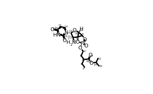 CCC(CCO[P@]1(=O)OC2[C@H]3O[C@@H](n4ccc(=O)[nH]c4=O)[C@](C)(N)[C@@]23O1)C(=O)OC(C)C